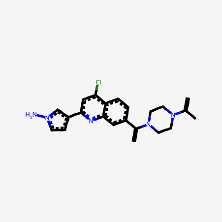 C=C(C)N1CCN(C(=C)c2ccc3c(Cl)cc(-c4ccn(N)c4)nc3c2)CC1